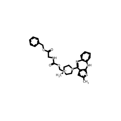 Cc1cc2c(s1)Nc1ccccc1N=C2N1CC[N+](C)(COC(=O)NCC(=O)OCc2ccccc2)CC1